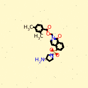 Cc1ccc(C(=O)OCn2ccc3c(S(=O)(=O)N4CC[C@H](N)C4)cccc3c2=O)c(C)c1